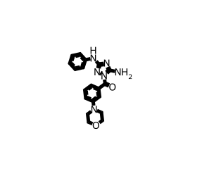 Nc1nc(Nc2ccccc2)nn1C(=O)c1cccc(N2CCOCC2)c1